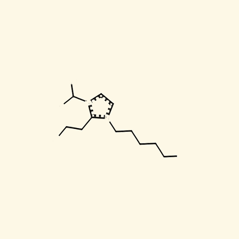 CCCCCC[n+]1ccn(C(C)C)c1CCC